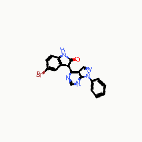 O=C1Nc2ccc(Br)cc2C1c1ncnc2c1cnn2-c1ccccc1